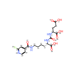 O=C(O)CCC(NC(=O)N[C@@H](CCCCNC(=O)c1ccnc(F)c1)C(=O)O)C(=O)O